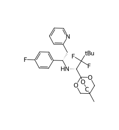 CC12COC([C@H](N[C@@H](Cc3ccccn3)c3ccc(F)cc3)C(F)(F)C(C)(C)C)(OC1)OC2